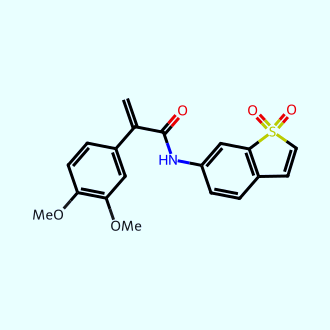 C=C(C(=O)Nc1ccc2c(c1)S(=O)(=O)C=C2)c1ccc(OC)c(OC)c1